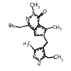 Cc1n[nH]c(C)c1Cn1cc2c(CC(C)C)nn(C)c(=O)c2c1C